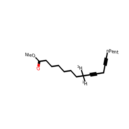 [2H]C([2H])(C#CCC#CCCCCC)CCCCCCC(=O)OC